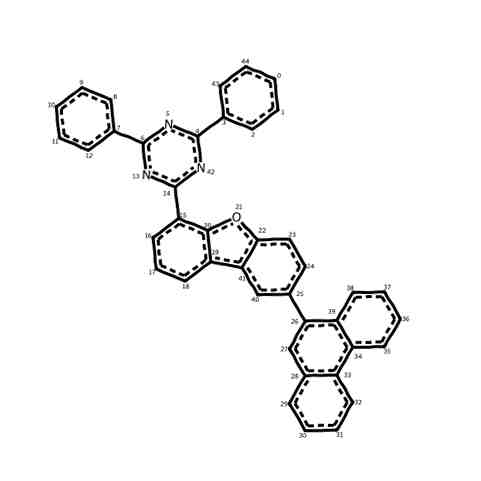 c1ccc(-c2nc(-c3ccccc3)nc(-c3cccc4c3oc3ccc(-c5cc6ccccc6c6ccccc56)cc34)n2)cc1